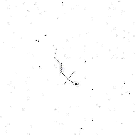 CC/C=C/C(C)(C)O